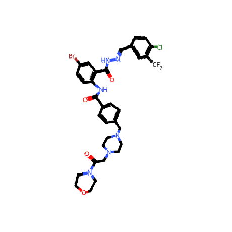 O=C(Nc1ccc(Br)cc1C(=O)NN=Cc1ccc(Cl)c(C(F)(F)F)c1)c1ccc(CN2CCN(CC(=O)N3CCOCC3)CC2)cc1